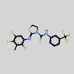 Cc1c(F)c(F)cc(N=C2SCCN2C(=S)Nc2cccc(C(F)(F)F)c2)c1F